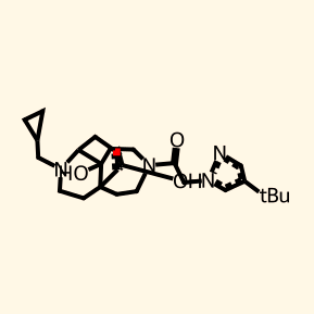 CC(C)(C)c1cnn(CC(=O)N2CCC34CCN(CC5CC5)C(Cc5ccc(O)cc53)C4(O)CC2)c1